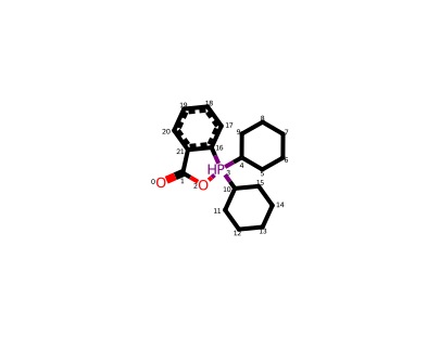 O=C1O[PH](C2CCCCC2)(C2CCCCC2)c2ccccc21